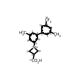 Cc1cc(-c2cc(C)cc(C(F)(F)F)c2)cc(N2CC(C(=O)O)C2)c1